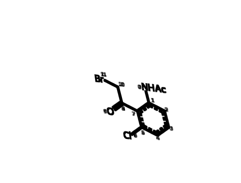 CC(=O)Nc1cccc(Cl)c1C(=O)CBr